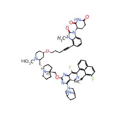 C#Cc1c(F)ccc2cccc(-c3ncc4c(N5CC6CCC(C5)N6)nc(OC[C@@]56CCCN5[C@H](CC5CC(OCCCC#Cc7cccc8c7n(C)c(=O)n8C7CCC(=O)NC7=O)CCN5C(=O)O)CC6)nc4c3F)c12